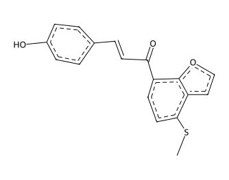 CSc1ccc(C(=O)/C=C/c2ccc(O)cc2)c2occc12